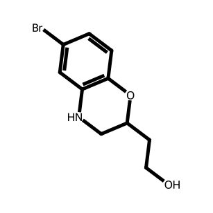 OCCC1CNc2cc(Br)ccc2O1